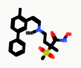 Cc1ccc(-c2ccccc2)cc1/C=C\N(C=O)CCC(C)(C(=O)NO)S(C)(=O)=O